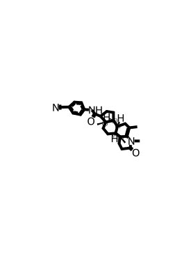 CC1=C2N(C)C(=O)CC[C@]2(C)[C@@H]2CC[C@]3(C)C(C(=O)Nc4ccc(C#N)cc4)CC[C@H]3[C@@H]2C1